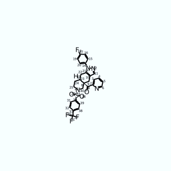 O=C(c1ccccn1)[C@]12Cc3cnn(-c4ccc(F)cc4)c3C[C@@H]1CCN(S(=O)(=O)c1ccc(C(F)(F)F)cc1)C2